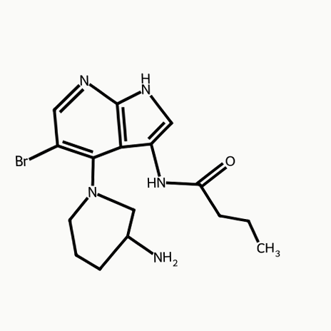 CCCC(=O)Nc1c[nH]c2ncc(Br)c(N3CCCC(N)C3)c12